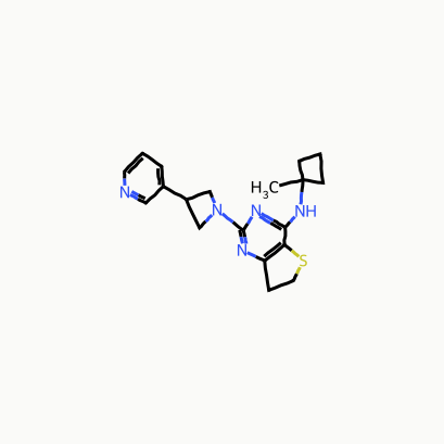 CC1(Nc2nc(N3CC(c4cccnc4)C3)nc3c2SCC3)CCC1